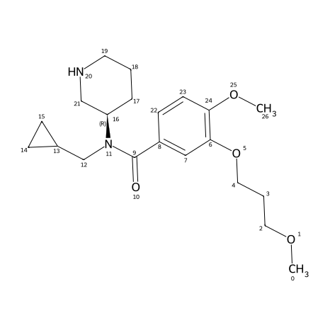 COCCCOc1cc(C(=O)N(CC2CC2)[C@@H]2CCCNC2)ccc1OC